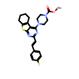 CC(C)(C)OC(=O)N1CCN(c2nc(/C=C/c3ccc(F)cc3)nc3sc4c(c23)CCCC4)CC1